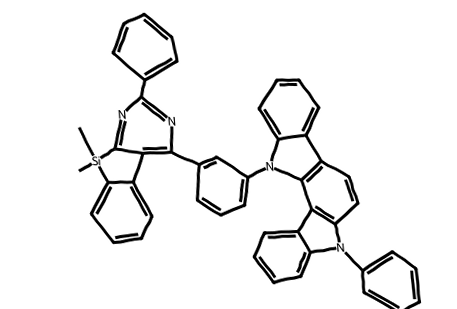 C[Si]1(C)c2ccccc2-c2c(-c3cccc(-n4c5ccccc5c5ccc6c(c7ccccc7n6-c6ccccc6)c54)c3)nc(-c3ccccc3)nc21